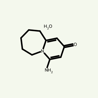 Nc1cc(=O)cc2n1CCCCC2.O